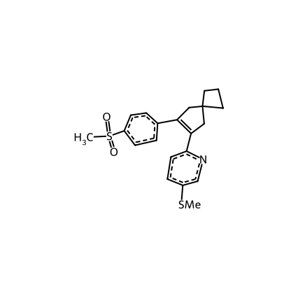 CSc1ccc(C2=C(c3ccc(S(C)(=O)=O)cc3)CC3(CCC3)C2)nc1